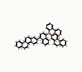 c1ccc(-c2ccccc2N(c2ccc3c(ccc4ccccc43)c2)c2ccc(-c3ccc4c(ccc5c6ccccc6ccc45)c3)c3ccccc23)cc1